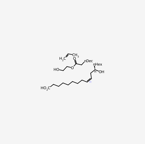 C=CC.CCCCCCCCCCCC(=O)OCCO.CCCCCC[C@@H](O)C/C=C\CCCCCCCC(=O)O